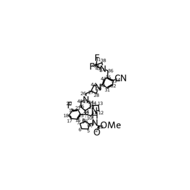 COC(=O)N[C@H]1CCC[C@@H]1C(CN1CCC1)(c1cccc(F)c1)C1CCN(CC2CN(c3ccc(C#N)c(CN4CC(F)(F)C4)c3)C2)CC1